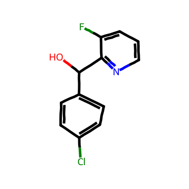 OC(c1ccc(Cl)cc1)c1ncccc1F